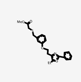 CCc1oc(-c2ccccc2)nc1CCOc1cccc(CSCC(=O)OC)c1